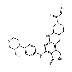 C=CC(=O)N1CCCC(Nc2nc(Nc3ccc(N4CCOCC4C)cc3)c3c(c2F)CNC3=O)C1